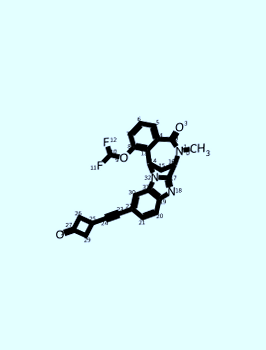 CN1C(=O)c2cccc(OC(F)F)c2C2CC1c1nc3ccc(C#CC4CC(=O)C4)cc3n12